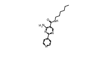 CCCCCCNC(=O)c1cnc(-c2ccncc2)nc1N